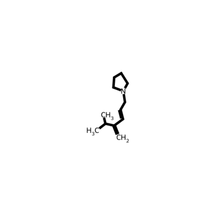 C=C(/C=C/CN1CCCC1)C(C)C